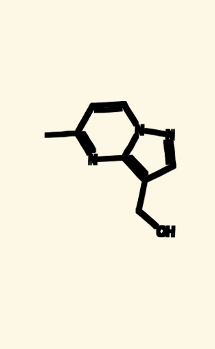 Cc1ccn2ncc(CO)c2n1